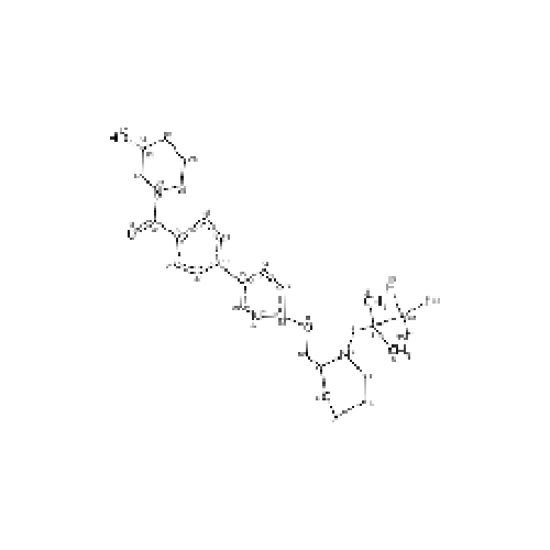 CC(C)(CN1CCCCC1COc1ccc(-c2ccc(C(=O)N3CCC[C@@H](O)C3)cc2)cn1)C(F)(F)F